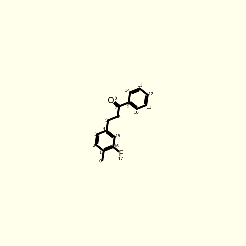 Cc1ccc(CCC(=O)c2ccccc2)cc1F